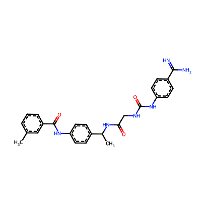 Cc1cccc(C(=O)Nc2ccc(C(C)NC(=O)CNC(=O)Nc3ccc(C(=N)N)cc3)cc2)c1